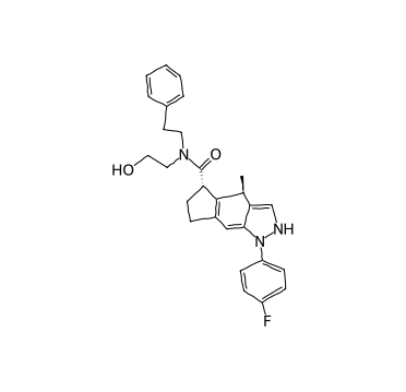 C[C@H]1C2=CNN(c3ccc(F)cc3)C2=CC2=C1[C@@H](C(=O)N(CCO)CCc1ccccc1)CC2